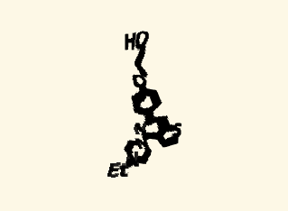 CCN1CCN(c2nc(-c3ccc(OCCCO)cc3)cc3sccc23)CC1